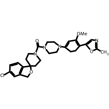 COC1=C(c2cnc(C)o2)CCC(N2CCN(C(=O)N3CCC4(CC3)OCc3cc(Cl)ccc34)CC2)=C1